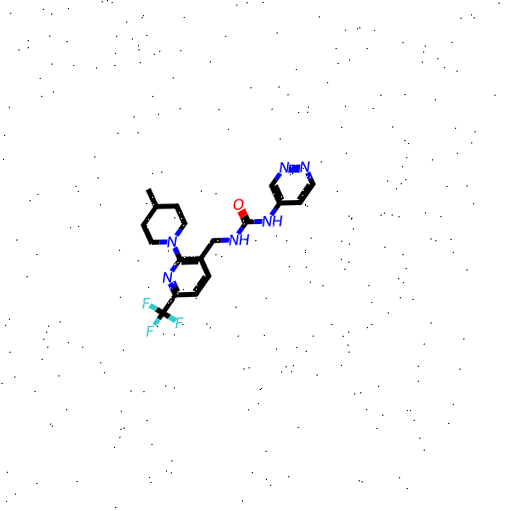 CC1CCN(c2nc(C(F)(F)F)ccc2CNC(=O)Nc2ccnnc2)CC1